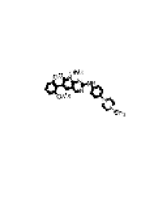 COc1cccc(Cl)c1-c1cc2cnc(Nc3ccc(N4CCN(C)CC4)cc3)nc2n(OC)c1=O